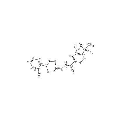 CS(=O)(=O)c1ccc(C(=O)NCN2CCC(c3cccc[n+]3[O-])CC2)cc1C(F)(F)F